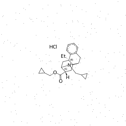 CC[C@@]12CC3[C@@H](C(=O)OCC4CC4)CC1C(Cc1ccccc12)N3CC1CC1.Cl